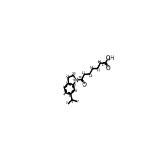 CC(C)c1ccc2c(c1)N(C(=O)CCCCCC(=O)O)CC2